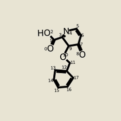 O=C(O)C1=NC=CC(=O)C1OCc1ccccc1